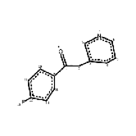 O=C(Cc1cccnc1)c1ccc(F)cc1